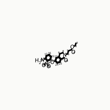 CCOC(=O)CCN1CCc2cc(Oc3cccc(N)c3[N+](=O)[O-])ccc2C1=O